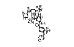 Cc1ccc(NC(=O)c2ccc(CN3CCOCC3)c(C(F)(F)F)c2)cc1Nc1nccn1-c1cc(Nc2ccc(OC(F)(F)F)cc2)ncn1